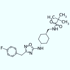 CC(C)(C)S(=O)(=O)NC[C@H]1CC[C@H](Nc2nc(Cc3ccc(F)cc3)no2)CC1